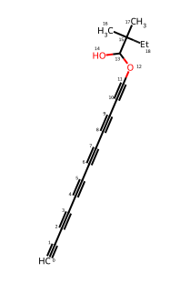 C#CC#CC#CC#CC#CC#COC(O)C(C)(C)CC